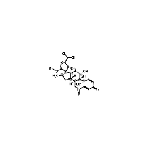 CC(C)OC(=O)[C@@]1(OC(=O)C(Cl)Cl)[C@H](C)C[C@H]2[C@@H]3C[C@H](F)C4=CC(=O)C=C[C@]4(C)[C@H]3[C@@H](O)C[C@@]21C